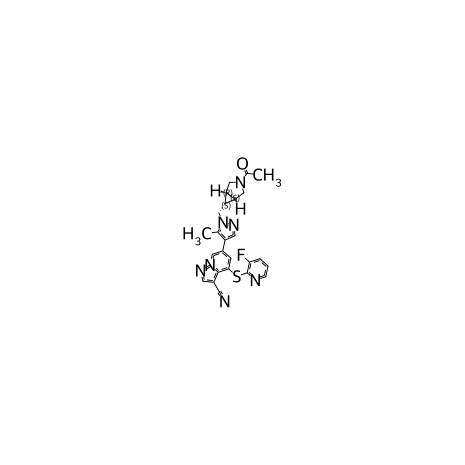 CC(=O)N1C[C@@H]2[C@H](C1)[C@@H]2Cn1ncc(-c2cc(Sc3ncccc3F)c3c(C#N)cnn3c2)c1C